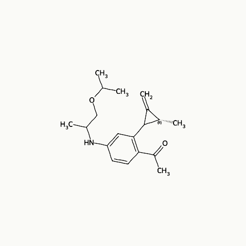 C=C1C(c2cc(NC(C)COC(C)C)ccc2C(C)=O)[C@H]1C